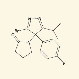 CC(C)C1=NN=C(Br)C1(c1ccc(F)cc1)N1CCCC1=O